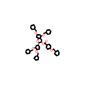 O=C(O[C@H]1Cc2c(OCc3ccccc3)cc(OCc3ccccc3)cc2O[C@@H]1c1ccc(OCc2ccccc2)c(OCc2ccccc2)c1)c1ccc(OCc2ccccc2)cc1